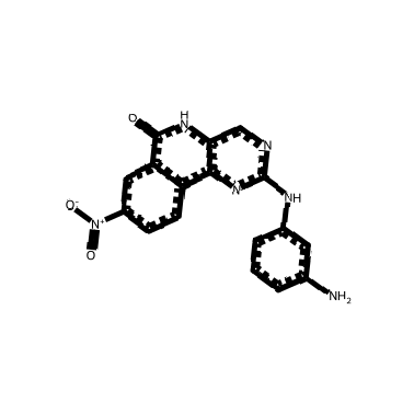 Nc1cccc(Nc2ncc3[nH]c(=O)c4cc([N+](=O)[O-])ccc4c3n2)c1